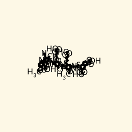 COc1cc(N=Nc2cc(OCCCS(=O)(=O)O)c(N=Nc3c(C)c(C#N)c4nc5ccc(OC)c(S(=O)(=O)O)c5n4c3O)cc2C)c(SCCCS(=O)(=O)O)cc1N=Nc1nc2c(S(=O)(=O)O)cc3cc(S(=O)(=O)O)ccc3c2s1